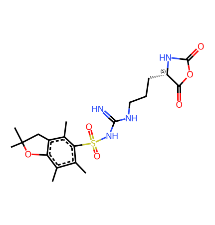 Cc1c(C)c(S(=O)(=O)NC(=N)NCCC[C@@H]2NC(=O)OC2=O)c(C)c2c1OC(C)(C)C2